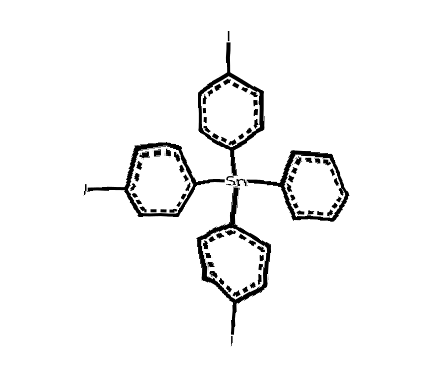 Ic1cc[c]([Sn]([c]2ccccc2)([c]2ccc(I)cc2)[c]2ccc(I)cc2)cc1